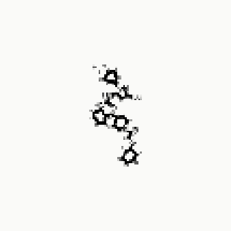 Cc1ccc(-n2nc(C(C)(C)C)cc2NC(=O)Nc2ccccc2CC2CCN(C(=O)COc3ccccc3)CC2)cc1